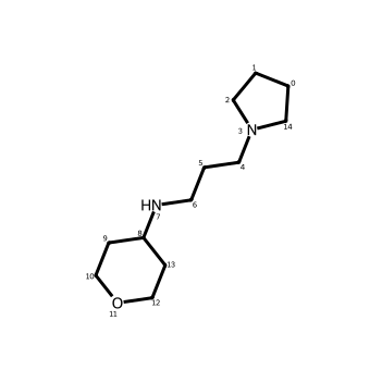 C1CCN(CCCNC2CCOCC2)C1